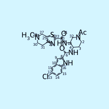 CC(=O)N1CCC(NC(=O)c2cc3cc(Cl)ccc3[nH]2)C(NC(=O)c2nc3c(s2)CN(C)CC3)C1